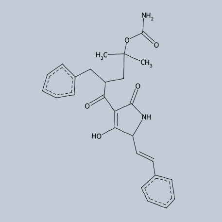 CC(C)(CC(Cc1ccccc1)C(=O)C1=C(O)C(C=Cc2ccccc2)NC1=O)OC(N)=O